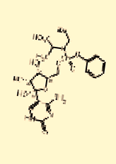 CCC(C)CN(C(C)C(=O)O)[P@@](=O)(OC[C@H]1O[C@@](O)(c2c[nH]c(=O)nc2N)[C@H](C#N)[C@@H]1O)Oc1ccccc1